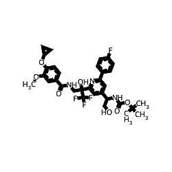 COc1cc(C(=O)NCC(O)(c2cc(C(CO)NC(=O)OC(C)(C)C)cc(-c3ccc(F)cc3)n2)C(F)(F)F)ccc1OC1CC1